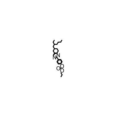 CCCCC(CC)CC1CCc2nc(-c3ccc(OC(=O)OCCC)cc3)ncc2C1